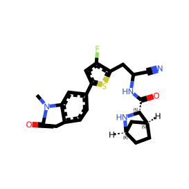 CN1C(=O)Cc2ccc(-c3cc(F)c(CC(C#N)NC(=O)[C@H]4N[C@@H]5CC[C@H]4C5)s3)cc21